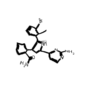 Cc1c(Br)cccc1-c1[nH]c(-c2ccnc(N)n2)cc1-c1ccccc1C(N)=O